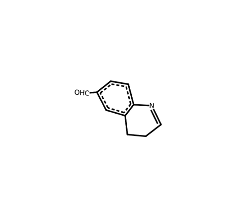 O=Cc1ccc2c(c1)CCC=N2